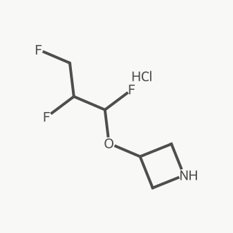 Cl.FCC(F)C(F)OC1CNC1